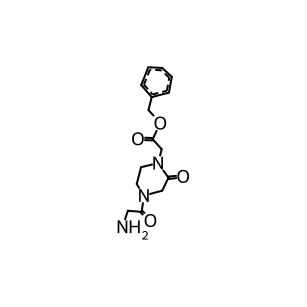 NCC(=O)N1CCN(CC(=O)OCc2ccccc2)C(=O)C1